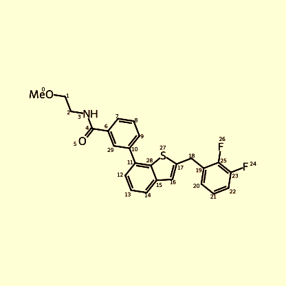 COCCNC(=O)c1cccc(-c2cccc3cc(Cc4cccc(F)c4F)sc23)c1